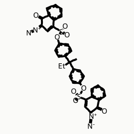 CCC(C)(c1ccc(OS(=O)(=O)C2=CC(=[N+]=[N-])C(=O)c3ccccc32)cc1)c1ccc(OS(=O)(=O)C2=CC(=[N+]=[N-])C(=O)c3ccccc32)cc1